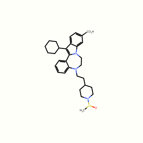 C[S+]([O-])N1CCC(CCN2CCn3c(c(C4CCCCC4)c4ccc(C(=O)O)cc43)-c3ccccc32)CC1